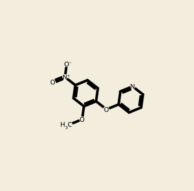 COc1cc([N+](=O)[O-])ccc1Oc1cccnc1